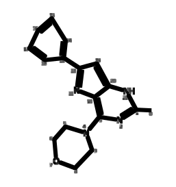 Cc1nc(N2CCOCC2)c2nc(-c3ccccc3)cc-2[nH]1